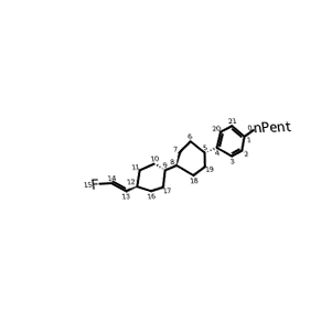 CCCCCc1ccc([C@H]2CC[C@H]([C@H]3CC[C@H](C=CF)CC3)CC2)cc1